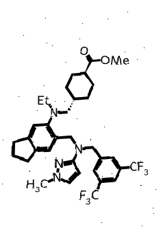 CCN(C[C@H]1CC[C@H](C(=O)OC)CC1)c1cc2c(cc1CN(Cc1cc(C(F)(F)F)cc(C(F)(F)F)c1)c1ccn(C)n1)CCC2